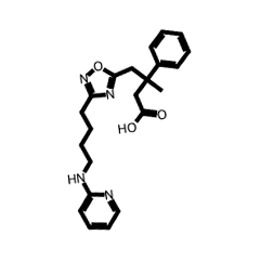 CC(CC(=O)O)(Cc1nc(CCCCNc2ccccn2)no1)c1ccccc1